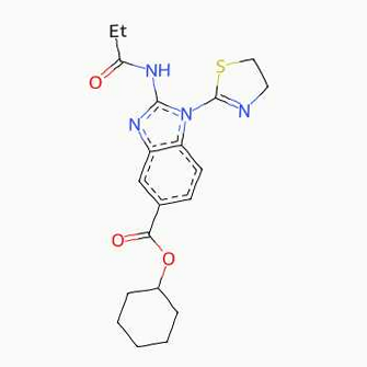 CCC(=O)Nc1nc2cc(C(=O)OC3CCCCC3)ccc2n1C1=NCCS1